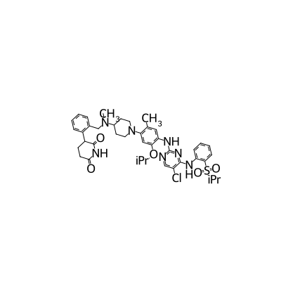 Cc1cc(Nc2ncc(Cl)c(Nc3ccccc3S(=O)(=O)C(C)C)n2)c(OC(C)C)cc1N1CCC(N(C)Cc2ccccc2C2CCC(=O)NC2=O)CC1